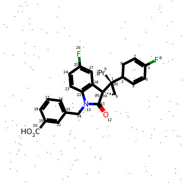 CC(C)[C@@]1(C2C=CC(F)=CC2)C[C@@]12C(=O)N(Cc1cccc(C(=O)O)c1)c1ccc(F)cc12